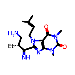 CC[C@H](CN)C(=N)c1nc2c(c(=O)n(C)c(=O)n2C)n1CC=C(C)C